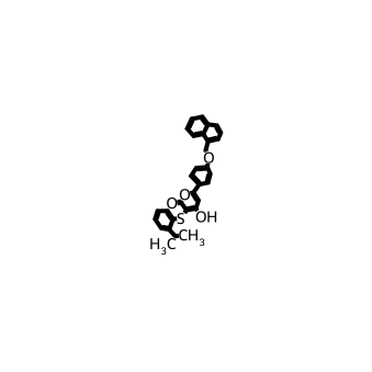 CC(C)c1ccccc1Sc1c(O)cc(-c2ccc(OCc3cccc4ccccc34)cc2)oc1=O